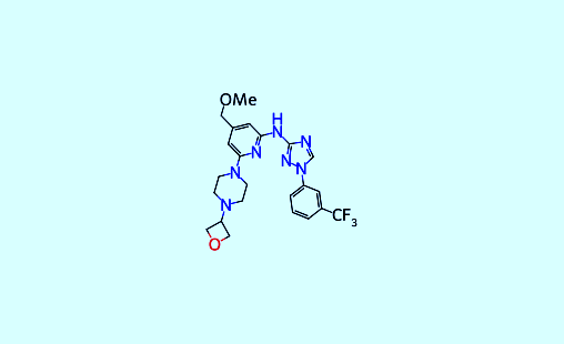 COCc1cc(Nc2ncn(-c3cccc(C(F)(F)F)c3)n2)nc(N2CCN(C3COC3)CC2)c1